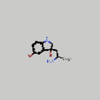 N[C@@H](CC1(Br)CNc2ccc(Br)cc21)C(=O)O